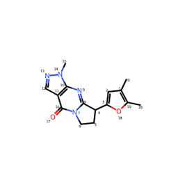 Cc1cc(C2CCn3c2nc2c(cnn2C)c3=O)oc1C